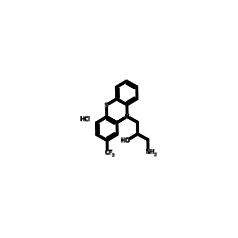 Cl.NCC(O)CN1c2ccccc2Sc2ccc(C(F)(F)F)cc21